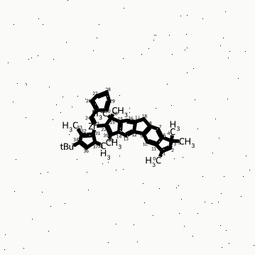 CC1=CC(C)(C)c2cc3c(cc21)-c1cc2c(cc1C3)C(C)(C)[C]([Zr](=[CH]c1ccccc1)[C]1=C(C)C(C(C)(C)C)=CC1C)=C2C